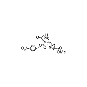 COC(=O)c1cn(C[C@]2(C)S[C@H]3CC(=O)N3[C@H]2C(=O)OCc2ccc([N+](=O)[O-])cc2)nn1